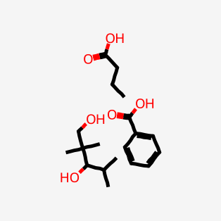 CC(C)C(O)C(C)(C)CO.CCCC(=O)O.O=C(O)c1ccccc1